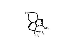 CC1(C)CC=C2CNCCn3cc(N)c1c32